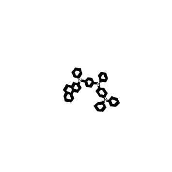 c1ccc(N(c2ccccc2)c2ccc(N(c3ccccc3)c3ccc(N(c4ccccc4)c4ccc5c(ccc6ccccc65)c4)cc3)cc2)cc1